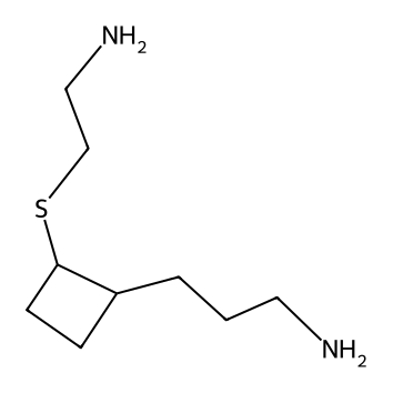 NCCCC1CCC1SCCN